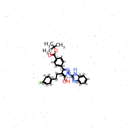 CC(C)(C)OC(=O)c1ccc(-c2nn(-c3nc4ccccc4[nH]3)c(O)c2CCc2ccc(F)cc2)cc1